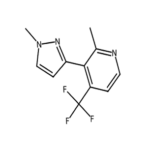 Cc1nccc(C(F)(F)F)c1-c1ccn(C)n1